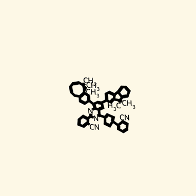 C=C1/C=C\C=C/Cc2ccc(-c3cc(-c4ccc5c(c4)C(C)(C)c4ccccc4-5)cc4c(-c5ccc(-c6ccccc6C#N)cc5)nc(-c5ccccc5C#N)nc34)cc2C1(C)C